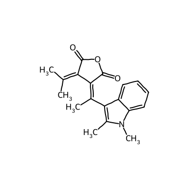 CC(C)=C1C(=O)OC(=O)C1=C(C)c1c(C)n(C)c2ccccc12